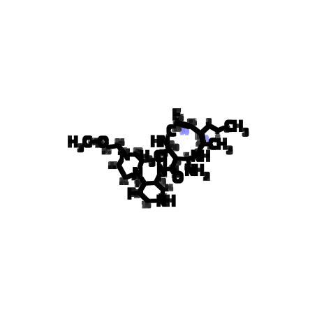 CCCC1=C(\C)NC(N)C(C(=O)NC2CNCC(F)C2N2CCN(CCOC)CC2)C(C)NC/C(F)=C\1